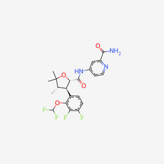 C[C@H]1[C@H](c2ccc(F)c(F)c2OC(F)F)[C@@H](C(=O)Nc2ccnc(C(N)=O)c2)OC1(C)C